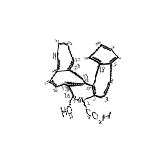 O=C(O)Nc1ccc2ccccc2c1-c1c(CO)ccc2ccccc12